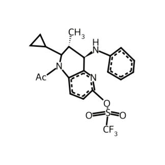 CC(=O)N1c2ccc(OS(=O)(=O)C(F)(F)F)nc2[C@H](Nc2ccccc2)[C@@H](C)C1C1CC1